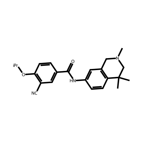 CC(C)Oc1ccc(C(=O)Nc2ccc3c(c2)CN(C)CC3(C)C)cc1C#N